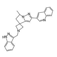 CC1CC2(CN(Cc3n[nH]c4ccccc34)C2)c2cc(-c3cnc4ccccc4c3)nn21